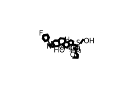 C[C@]12Cc3cnn(-c4ccc(F)cc4)c3C=C1CC[C@@H]1C2[C@@H](O)C[C@@]2(C)C1CC[C@]2(OC(=O)c1ccco1)C(=O)SCCO